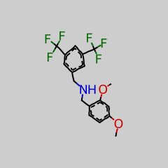 COc1ccc(CNCc2cc(C(F)(F)F)cc(C(F)(F)F)c2)c(OC)c1